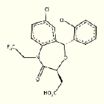 O=C(O)C[C@@H]1O[C@@H](c2ccccc2Cl)c2cc(Cl)ccc2N(CC(F)(F)F)C1=O